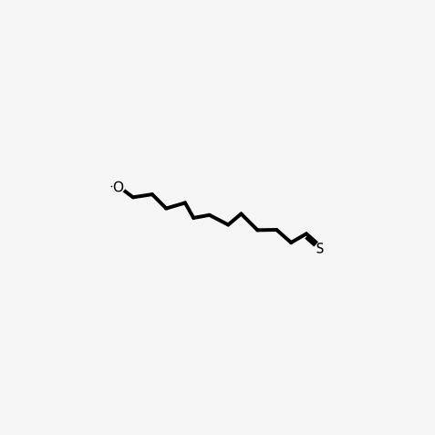 [O]CCCCCCCCCCCC=S